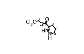 O=C(OCC(Cl)(Cl)Cl)C1CCCNN1